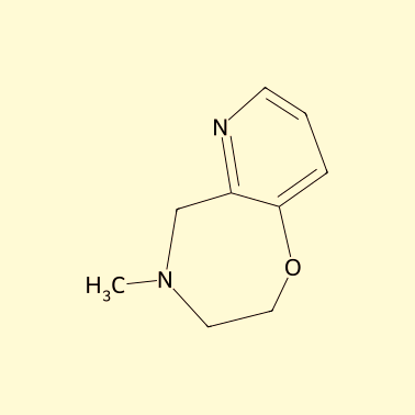 CN1CCOc2cccnc2C1